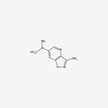 CC(C)(C)N(C(=O)O)c1cnc2c(N)noc2c1